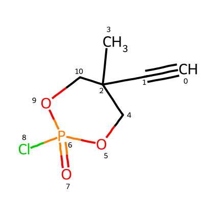 C#CC1(C)COP(=O)(Cl)OC1